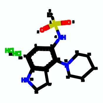 CCS(=O)(=O)Nc1ccc2c(c1N1CCCCC1)CCN2.Cl.Cl